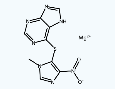 Cn1cnc([N+](=O)[O-])c1Sc1ncnc2nc[nH]c12.[Mg+2]